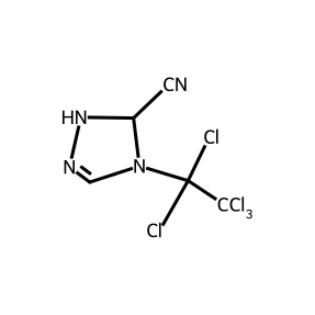 N#CC1NN=CN1C(Cl)(Cl)C(Cl)(Cl)Cl